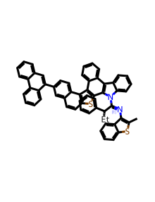 CCC(/C(=N\c1c(C)sc2ccccc12)n1c2ccccc2c2c3ccccc3c3c(sc4ccc5cc(-c6cc7ccccc7c7ccccc67)ccc5c43)c21)c1ccccc1